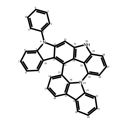 c1ccc(-n2c3ccccc3c3c4c5cccc6c7ccccc7n(c7cccc8[nH]c(cc32)c4c87)c65)cc1